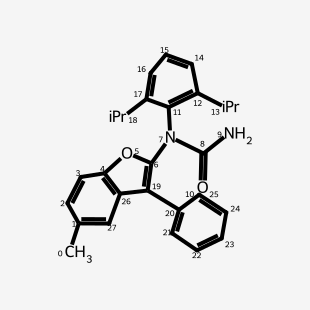 Cc1ccc2oc(N(C(N)=O)c3c(C(C)C)cccc3C(C)C)c(-c3ccccc3)c2c1